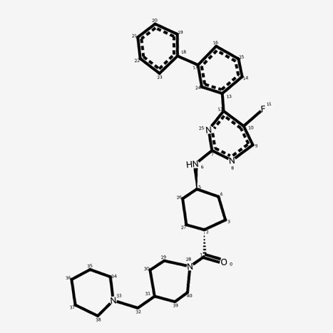 O=C([C@H]1CC[C@H](Nc2ncc(F)c(-c3cccc(-c4ccccc4)c3)n2)CC1)N1CCC(CN2CCCCC2)CC1